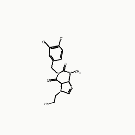 CN1C(=O)N(Cc2ccc(Cl)c(Cl)c2)C(=O)C2C1N=CN2CCO